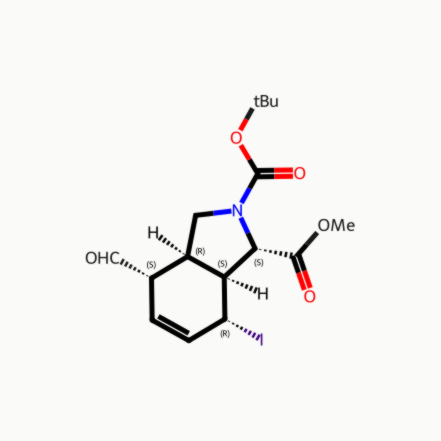 COC(=O)[C@@H]1[C@@H]2[C@H](CN1C(=O)OC(C)(C)C)[C@@H](C=O)C=C[C@H]2I